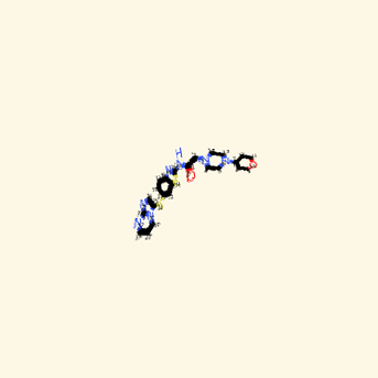 O=C(CN1CCN(C2CCOCC2)CC1)Nc1nc2ccc(Sc3cnc4ncccn34)cc2s1